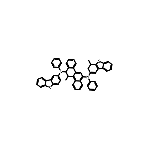 CC1CC(N(c2ccccc2)c2cc3c(c4ccccc24)C(C)C(N(c2ccccc2)c2ccc4sc5ccccc5c4c2)c2ccccc2-3)=Cc2c1sc1ccccc21